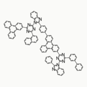 c1ccc(-c2cccc(-c3nc(-c4ccc5c6ccc(-c7ccc(-c8nc9ccccc9n8-c8nc(-c9ccc%10c%11ccccc%11c%11ccccc%11c%10c9)nc(-c9cccc%10ccccc9%10)n8)cc7)cc6c6ccccc6c5c4)nc(-n4c(-c5ccccc5)nc5ccccc54)n3)c2)cc1